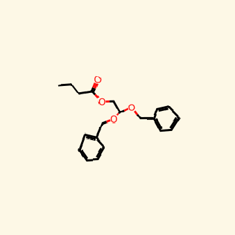 CCCC(=O)OCC(OCc1ccccc1)OCc1ccccc1